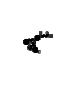 O=C(O)CCCNc1ccc(NCC(Cc2ccccc2)NC(=O)C=Cc2cc(Cl)ccc2-n2cnnn2)cc1